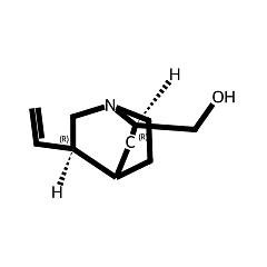 C=C[C@H]1CN2CCC1C[C@@H]2CO